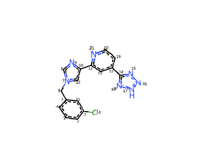 Clc1cccc(Cn2cnc(-c3cc(-c4nn[nH]n4)ccn3)c2)c1